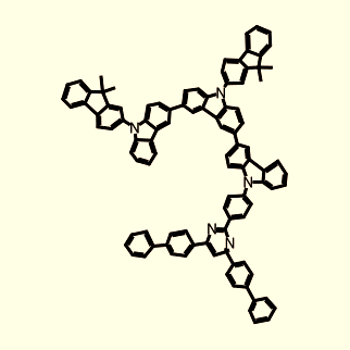 CC1(C)c2ccccc2-c2ccc(-n3c4ccccc4c4cc(-c5ccc6c(c5)c5cc(-c7ccc8c(c7)c7ccccc7n8-c7ccc(-c8nc(-c9ccc(-c%10ccccc%10)cc9)cc(-c9ccc(-c%10ccccc%10)cc9)n8)cc7)ccc5n6-c5ccc6c(c5)C(C)(C)c5ccccc5-6)ccc43)cc21